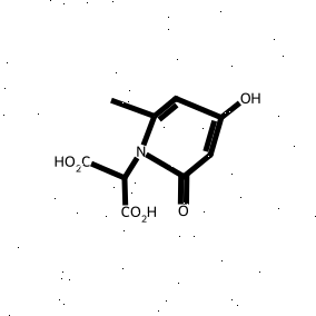 Cc1cc(O)cc(=O)n1C(C(=O)O)C(=O)O